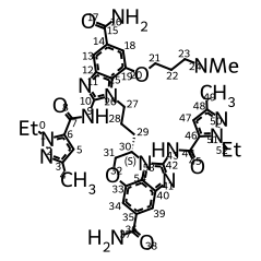 CCn1nc(C)cc1C(=O)Nc1nc2cc(C(N)=O)cc(OCCCNC)c2n1CCC[C@H]1COc2cc(C(N)=O)cc3nc(NC(=O)c4cc(C)nn4CC)n1c23